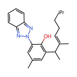 CC(=CCCC(C)C)C(C)c1cc(C)cc(-n2nc3ccccc3n2)c1O